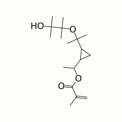 C=C(C)C(=O)OC(C)C1CC1C(C)(C)OC(C)(C)C(C)(C)O